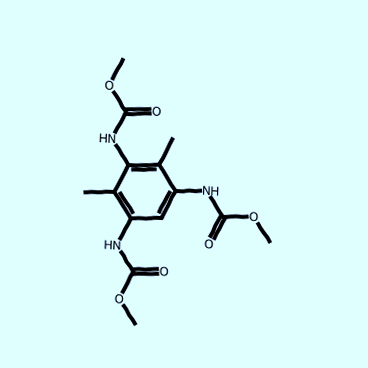 COC(=O)Nc1cc(NC(=O)OC)c(C)c(NC(=O)OC)c1C